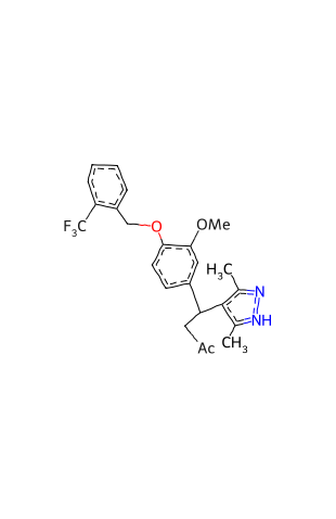 COc1cc(C(CC(C)=O)c2c(C)n[nH]c2C)ccc1OCc1ccccc1C(F)(F)F